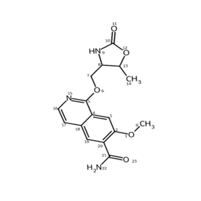 COc1cc2c(OCC3NC(=O)OC3C)nccc2cc1C(N)=O